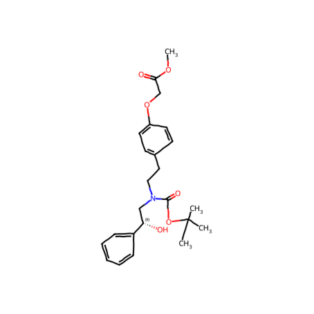 COC(=O)COc1ccc(CCN(C[C@H](O)c2ccccc2)C(=O)OC(C)(C)C)cc1